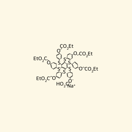 CC(=O)O.CCOC(=O)COc1ccc(Sc2c(Sc3ccc([O-])cc3)c(Sc3ccc(OCC(=O)OCC)cc3)c(Sc3ccc(OCC(=O)OCC)cc3)c(Sc3ccc(OCC(=O)OCC)cc3)c2Sc2ccc(OCC(=O)OCC)cc2)cc1.[Na+]